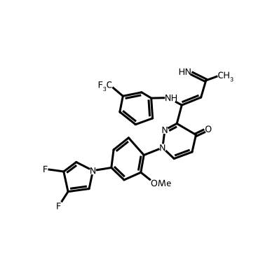 COc1cc(-n2cc(F)c(F)c2)ccc1-n1ccc(=O)c(/C(=C/C(C)=N)Nc2cccc(C(F)(F)F)c2)n1